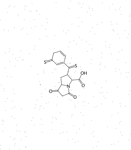 O=C1CC(=O)N2C1CC(C(=S)C1=CC(=S)CC=C1)C2C(=O)O